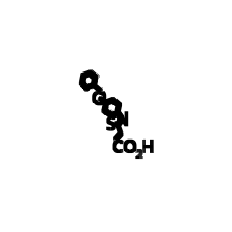 O=C(O)/C=C/c1nc2ccc(OCc3ccccc3)cc2s1